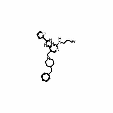 CC(C)CCNc1ncc(CN2CCC(Cc3ccccc3)CC2)c2nc(-c3ccco3)nn12